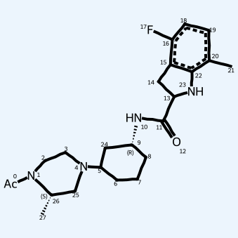 CC(=O)N1CCN(C2CCC[C@@H](NC(=O)C3Cc4c(F)ccc(C)c4N3)C2)C[C@@H]1C